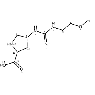 COCCNC(=N)NC1CNC(C(=O)O)C1